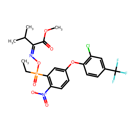 CCP(=O)(ON=C(C(=O)OC)C(C)C)c1cc(Oc2ccc(C(F)(F)F)cc2Cl)ccc1[N+](=O)[O-]